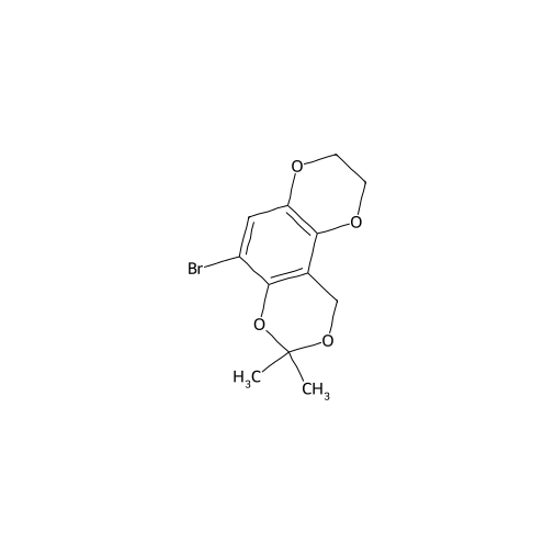 CC1(C)OCc2c(c(Br)cc3c2OCCO3)O1